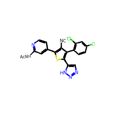 [C-]#[N+]c1c(-c2ccnc(NC(C)=O)c2)sc(-c2cnn[nH]2)c1-c1ccc(Cl)cc1Cl